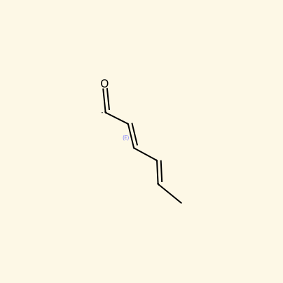 CC=C/C=C/[C]=O